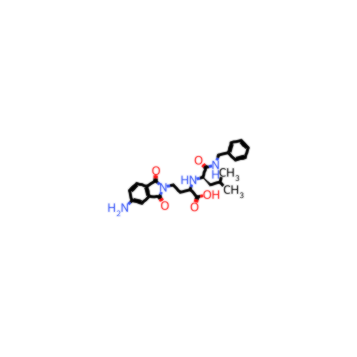 CC(C)C[C@@H](NC(CCN1C(=O)c2ccc(N)cc2C1=O)C(=O)O)C(=O)NCc1ccccc1